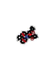 CC1C=Cc2cccc(-c3ccccc3N(c3ccc4c(c3)oc3ccccc34)c3ccccc3-c3ccc4oc5ccccc5c4c3)c2C1c1ccccc1